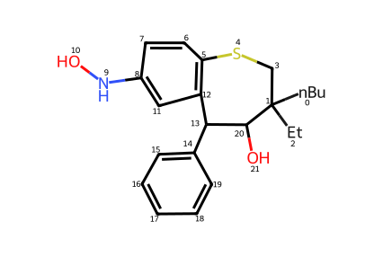 CCCCC1(CC)CSc2ccc(NO)cc2C(c2ccccc2)C1O